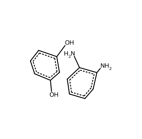 Nc1ccccc1N.Oc1cccc(O)c1